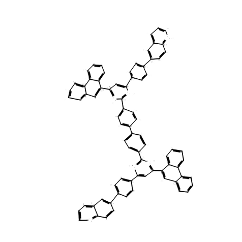 c1cnc2ccc(-c3ccc(-c4cc(-c5cc6ccccc6c6ccccc56)nc(-c5ccc(-c6ccc(-c7nc(-c8ccc(-c9ccc%10ncccc%10c9)cc8)cc(-c8cc9ccccc9c9ccccc89)n7)cc6)cc5)n4)cc3)cc2c1